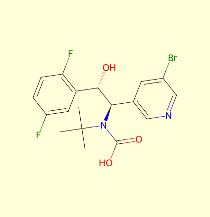 CC(C)(C)N(C(=O)O)[C@H](c1cncc(Br)c1)[C@@H](O)c1cc(F)ccc1F